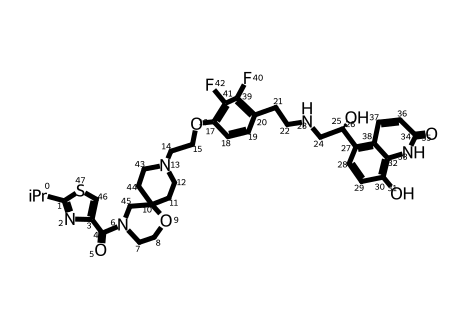 CC(C)c1nc(C(=O)N2CCOC3(CCN(CCOc4ccc(CCNC[C@H](O)c5ccc(O)c6[nH]c(=O)ccc56)c(F)c4F)CC3)C2)cs1